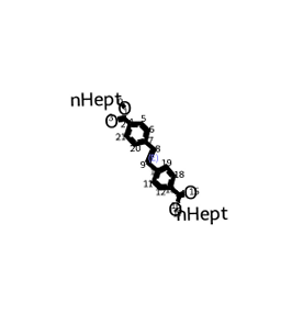 CCCCCCCOC(=O)c1ccc(/C=C/c2ccc(C(=O)OCCCCCCC)cc2)cc1